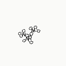 c1ccc(N(c2cc(N(c3ccccc3)c3ccc4ccccc4c3)c3oc4ccc(N(c5ccccc5)c5cc6ccccc6c6ccccc56)cc4c3c2)c2cccc3ccccc23)cc1